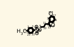 Cc1ccc(S(=O)(=O)OCCCc2coc3ccc(Cl)cc23)cc1